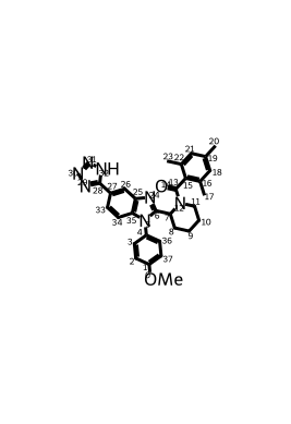 COc1ccc(-n2c(C3CCCCN3C(=O)c3c(C)cc(C)cc3C)nc3cc(-c4nnn[nH]4)ccc32)cc1